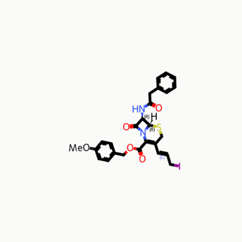 COc1ccc(COC(=O)C2=C(/C=C/CI)CS[C@@H]3[C@H](NC(=O)Cc4ccccc4)C(=O)N23)cc1